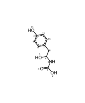 O=C(O)NC(O)Cc1ccc(O)cc1